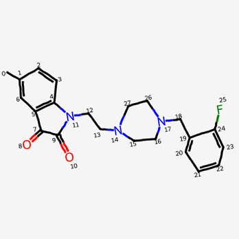 Cc1ccc2c(c1)C(=O)C(=O)N2CCN1CCN(Cc2ccccc2F)CC1